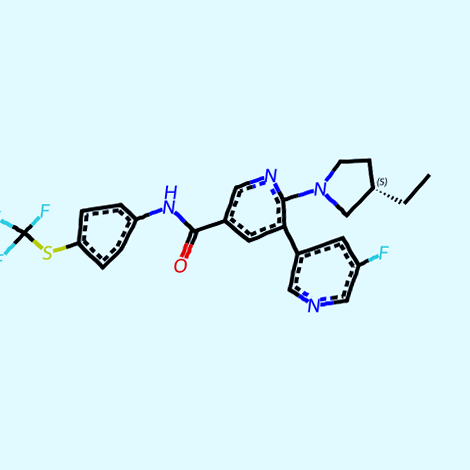 CC[C@H]1CCN(c2ncc(C(=O)Nc3ccc(SC(F)(F)F)cc3)cc2-c2cncc(F)c2)C1